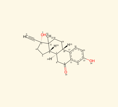 C#C[C@]1(O)CC[C@H]2[C@@H]3CC(=O)c4cc(O)ccc4[C@H]3CCC21C